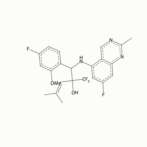 COc1cc(F)ccc1C(Nc1cc(F)cc2nc(C)ncc12)C(O)(C=C(C)C)C(F)(F)F